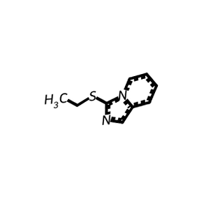 CCSc1ncc2ccccn12